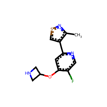 Cc1nscc1-c1cc(OC2CNC2)c(F)cn1